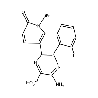 CC(C)n1cc(-c2nc(C(=O)O)c(N)nc2-c2ccccc2F)ccc1=O